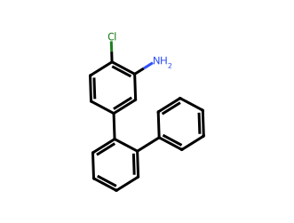 Nc1cc(-c2ccccc2-c2ccccc2)ccc1Cl